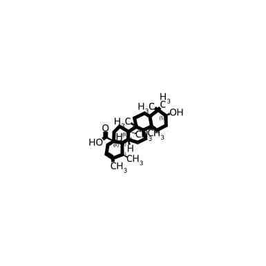 CC1=CC[C@]2(C(=O)O)CC[C@]3(C)[C@H](CCC4[C@@]5(C)CC[C@H](O)C(C)(C)C5CC[C@]43C)[C@H]2[C@@H]1C